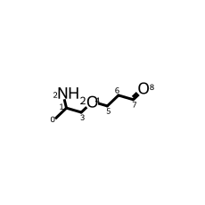 CC(N)COCCC=O